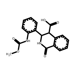 COC(=O)Nc1ccccc1C1NC(=O)c2ccccc2C1C(=O)O